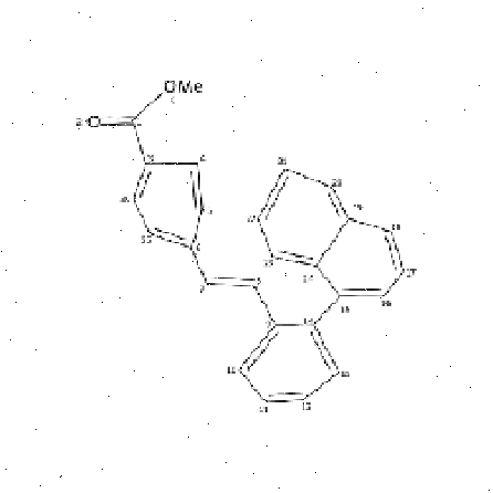 COC(=O)c1ccc(C=Cc2ccccc2-c2cccc3ccccc23)cc1